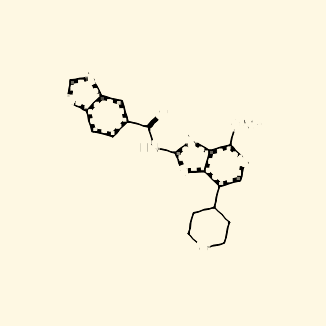 COc1ncc(C2CCOCC2)c2sc(NC(=O)c3ccc4ocnc4c3)nc12